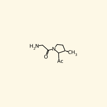 CC(=O)C1[C@H](C)CCN1C(=O)CN